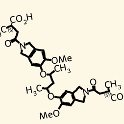 COc1cc2c(cc1OC(C)CC(C)Oc1cc3c(cc1OC)CN(C(=O)C[C@H](C)C(=O)O)C3)CN(C(=O)C[C@H](C)C(=O)O)C2